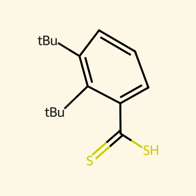 CC(C)(C)c1cccc(C(=S)S)c1C(C)(C)C